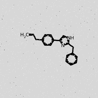 C=CCc1ccc(-c2c[nH]c(Cc3ccccc3)n2)cc1